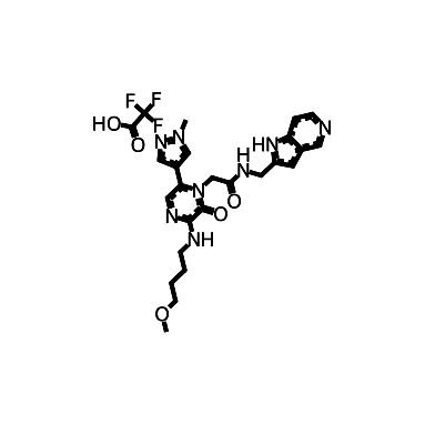 COCCCCNc1ncc(-c2cnn(C)c2)n(CC(=O)NCc2cc3cnccc3[nH]2)c1=O.O=C(O)C(F)(F)F